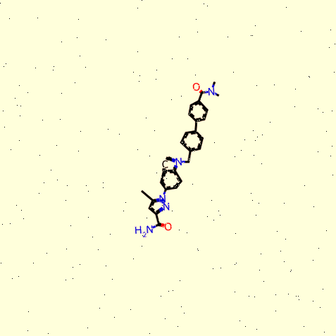 Cc1cc(C(N)=O)nn1-c1ccc2c(ccn2Cc2ccc(-c3ccc(C(=O)N(C)C)cc3)cc2)c1